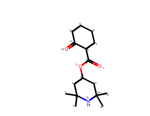 CC1(C)CC(OC(=O)C2CCCCC2=O)CC(C)(C)N1